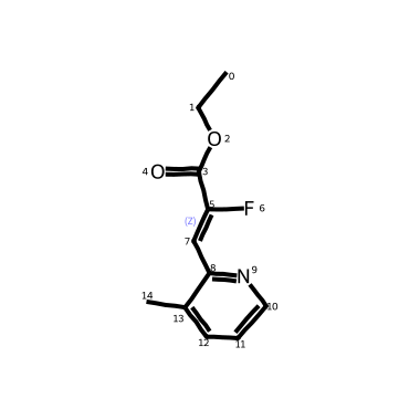 CCOC(=O)/C(F)=C/c1ncccc1C